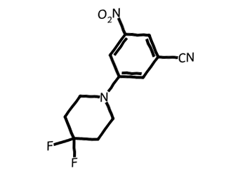 N#Cc1cc(N2CCC(F)(F)CC2)cc([N+](=O)[O-])c1